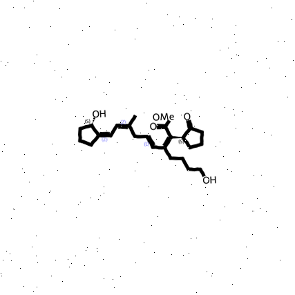 COC(=O)C(=C(/C=C/C/C(C)=C\C=C1\CCC[C@@H]1O)CCCCO)[C@@H]1CCCC1=O